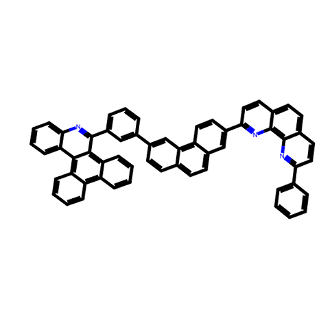 c1ccc(-c2ccc3ccc4ccc(-c5ccc6c(ccc7ccc(-c8cccc(-c9nc%10ccccc%10c%10c%11ccccc%11c%11ccccc%11c9%10)c8)cc76)c5)nc4c3n2)cc1